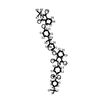 CC(C)(C)c1ccc(S(=O)(=O)c2ccc(N3C(=O)c4cccc(Oc5ccc(C(C)(C)c6ccc(Oc7cccc8c7C(=O)N(C(C)(C)C)C8=O)cc6)cc5)c4C3=O)cc2)cc1